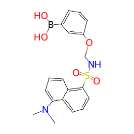 CN(C)c1cccc2c(S(=O)(=O)NCOc3cccc(B(O)O)c3)cccc12